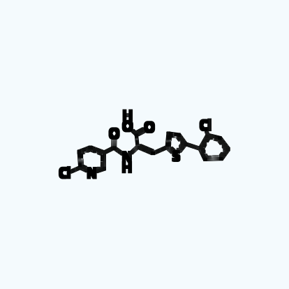 O=C(O)/C(=C\c1ccc(-c2ccccc2Cl)s1)NC(=O)c1ccc(Cl)nc1